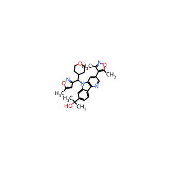 Cc1cc(C(C2CCOCC2)n2c3cc(C(C)(C)O)ccc3c3ncc(-c4c(C)noc4C)cc32)no1